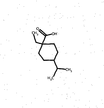 CCC1(C(=O)O)CCC(C(C)C)CC1